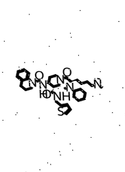 CN(C)CCCC[C@H](C(=O)N1CC[C@@H](NC(=O)N2CCCc3ccccc32)[C@@H](C(=O)NCc2cccs2)C1)N(C)C1CCCCC1